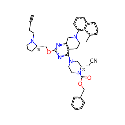 C#CCCN1CCC[C@H]1COc1nc2c(c(N3CCN(C(=O)OCc4ccccc4)[C@@H](CC#N)C3)n1)CCN(c1cccc3cccc(C)c13)C2